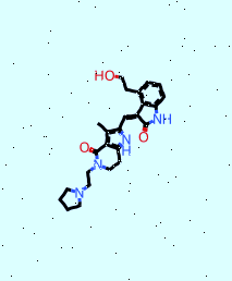 Cc1c(C=C2C(=O)Nc3cccc(CCO)c32)[nH]c2c1C(=O)N(CCN1CCCC1)CC2